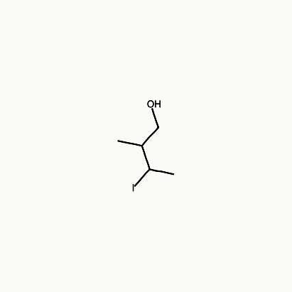 CC(I)C(C)CO